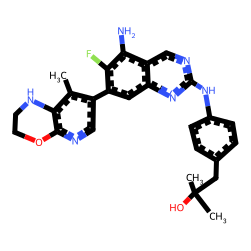 Cc1c(-c2cc3nc(Nc4ccc(CC(C)(C)O)cc4)ncc3c(N)c2F)cnc2c1NCCO2